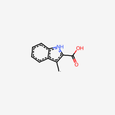 [CH2]c1c(C(=O)O)[nH]c2ccccc12